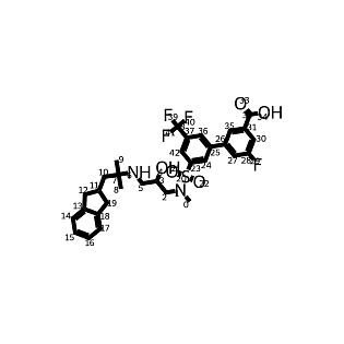 CN(CC(O)CNC(C)(C)CC1Cc2ccccc2C1)S(=O)(=O)c1cc(-c2cc(F)cc(C(=O)O)c2)cc(C(F)(F)F)c1